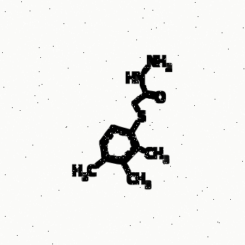 Cc1ccc(SCC(=O)NN)c(C)c1C